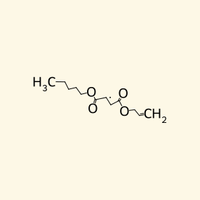 C=CCOC(=O)C[CH]C(=O)OCCCCC